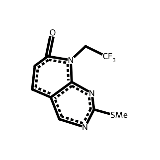 CSc1ncc2ccc(=O)n(CC(F)(F)F)c2n1